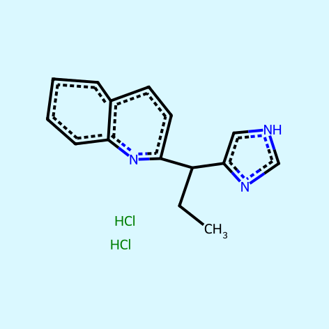 CCC(c1c[nH]cn1)c1ccc2ccccc2n1.Cl.Cl